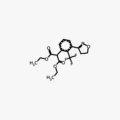 CCOC(=O)C(C(=O)OCC)c1cccc(C2=NOCC2)c1C(F)(F)F